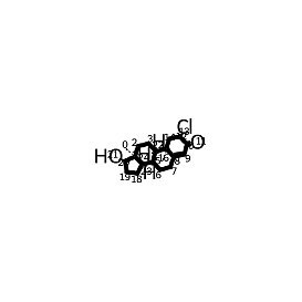 C[C@]12CC[C@H]3[C@@H](CCC4=CC(=O)C(Cl)C[C@@]43C)[C@@H]1CC[C@@H]2O